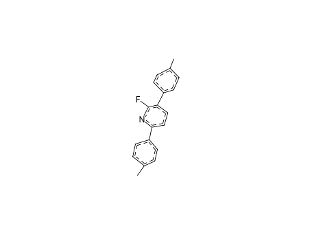 Cc1ccc(-c2ccc(-c3ccc(C)cc3)c(F)n2)cc1